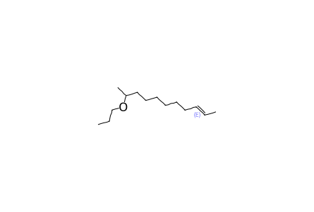 C/C=C/CCCCCCC(C)OCCC